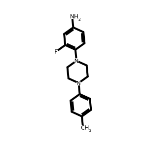 Cc1ccc(N2CCN(c3ccc(N)cc3F)CC2)cc1